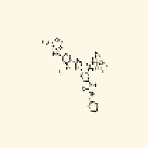 COc1cc(NC(=O)OC(C)C)ccc1-c1ncc(-c2ccc(NC(=O)NCc3ccccc3)cc2S(=O)(=O)NC(C)(C)C)s1